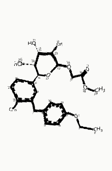 CCOc1ccc(Cc2cc([C@@H]3OC(OCC(=O)OC)[C@H](O)[C@@H](O)[C@H]3O)ccc2Cl)cc1